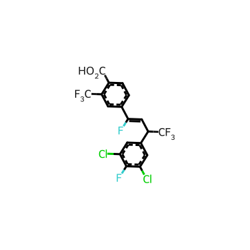 O=C(O)c1ccc(/C(F)=C/C(c2cc(Cl)c(F)c(Cl)c2)C(F)(F)F)cc1C(F)(F)F